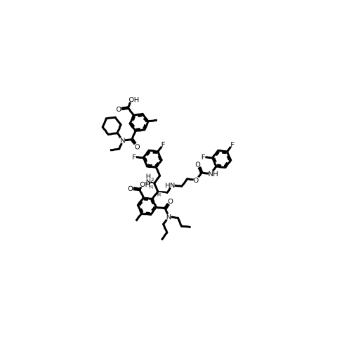 CCCN(CCC)C(=O)c1cc(C)cc(C(=O)O)c1[C@H](CNCCOC(=O)Nc1ccc(F)cc1F)[C@@H](N)Cc1cc(F)cc(F)c1.CCN(C(=O)c1cc(C)cc(C(=O)O)c1)C1CCCCC1